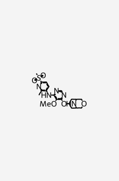 COc1c(Nc2ccc(S(C)(=O)=O)nc2C)ncnc1OC1CC2COCC(C1)N2